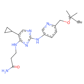 CC(C)(C)[Si](C)(C)OCc1ccc(Nc2ncc(C3CC3)c(NCCC(N)=O)n2)cn1